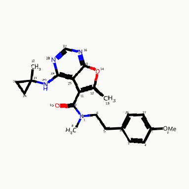 COc1ccc(CCN(C)C(=O)c2c(C)oc3ncnc(NC4(C)CC4)c23)cc1